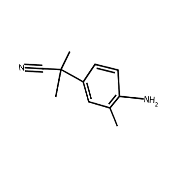 Cc1cc(C(C)(C)C#N)ccc1N